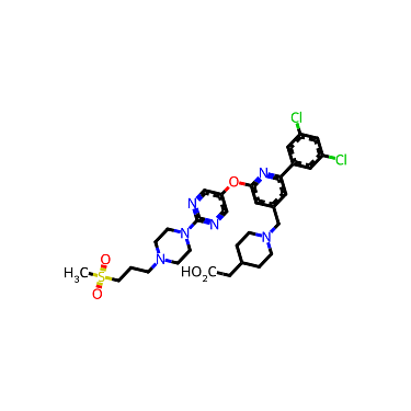 CS(=O)(=O)CCCN1CCN(c2ncc(Oc3cc(CN4CCC(CC(=O)O)CC4)cc(-c4cc(Cl)cc(Cl)c4)n3)cn2)CC1